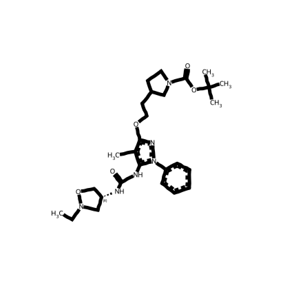 CCN1C[C@@H](NC(=O)Nc2c(C)c(OCCC3CCN(C(=O)OC(C)(C)C)C3)nn2-c2ccccc2)CO1